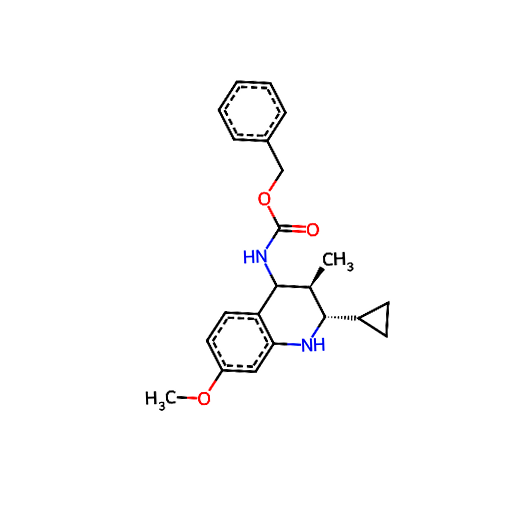 COc1ccc2c(c1)N[C@@H](C1CC1)[C@H](C)C2NC(=O)OCc1ccccc1